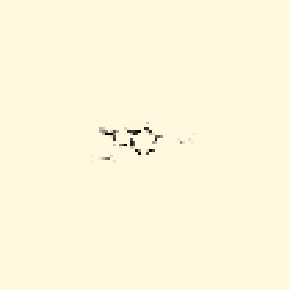 CCOc1ccc2c(c1)sc(=O)n2CC